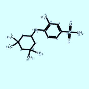 CC1(C)CC(Nc2ccc(S(N)(=O)=O)cc2N)CC(C)(C)C1